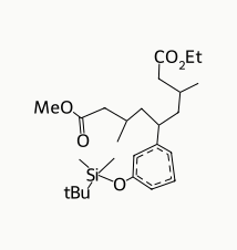 CCOC(=O)CC(C)CC(CC(C)CC(=O)OC)c1cccc(O[Si](C)(C)C(C)(C)C)c1